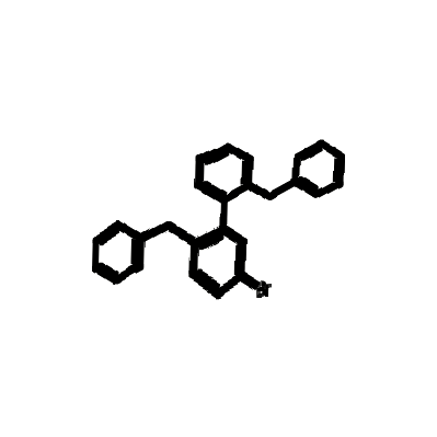 Brc1ccc(Cc2ccccc2)c(-c2ccccc2Cc2ccccc2)c1